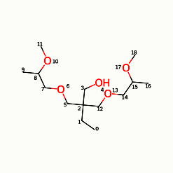 CCC(CO)(COCC(C)OC)COCC(C)OC